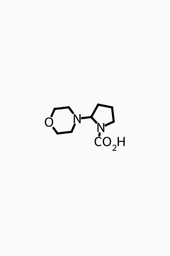 O=C(O)N1CCCC1N1CCOCC1